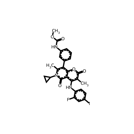 COC(=O)Nc1cccc(-c2c(C)n(C3CC3)c(=O)c3c(Nc4ccc(I)cc4F)c(C)c(=O)oc23)c1